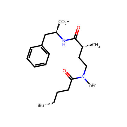 CCCN(CC[C@@H](C)C(=O)N[C@@H](Cc1ccccc1)C(=O)O)C(=O)CCC[C@@H](C)CC